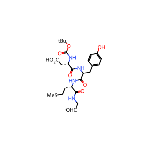 CSCC[C@H](NC(=O)[C@H](Cc1ccc(O)cc1)NC(=O)[C@H](CC(=O)O)NC(=O)OC(C)(C)C)C(=O)NC[C]=O